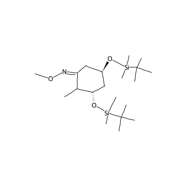 CO/N=C1/C[C@@H](O[Si](C)(C)C(C)(C)C)C[C@H](O[Si](C)(C)C(C)(C)C)C1C